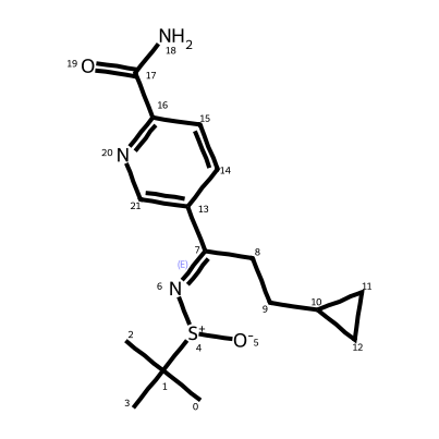 CC(C)(C)[S+]([O-])/N=C(\CCC1CC1)c1ccc(C(N)=O)nc1